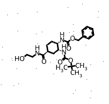 CC(C)(C)OC(=O)N[C@@H]1C[C@@H](C(=O)NCCO)CC[C@@H]1NC(=O)OCc1ccccc1